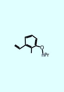 C=Cc1cccc(OCCC)c1C